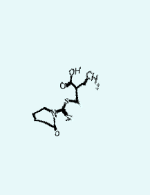 CCC(CSC(=S)N1CCCC1=O)C(=O)O